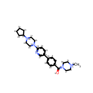 CN1CCN(C(=O)c2ccc(-c3ccc(N4CCN(C5CCCC5)CC4)nc3)cc2)CC1